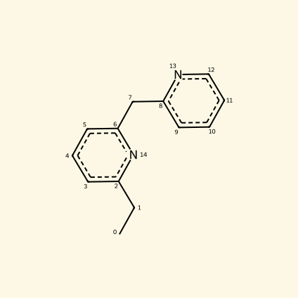 CCc1cccc(Cc2ccccn2)n1